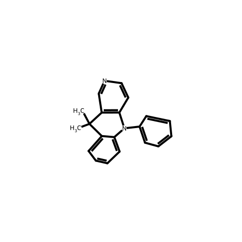 CC1(C)c2ccccc2N(c2ccccc2)c2ccncc21